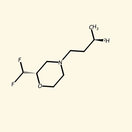 [2H][C@H](C)CCN1CCO[C@H](C(F)F)C1